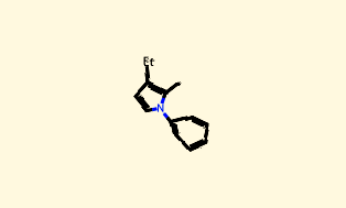 CCc1ccn(-c2ccccc2)c1C